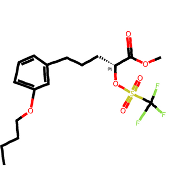 CCCCOc1cccc(CCC[C@@H](OS(=O)(=O)C(F)(F)F)C(=O)OC)c1